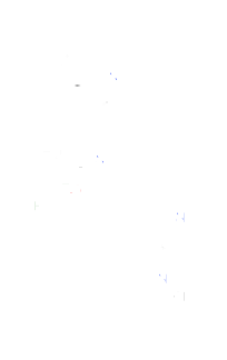 CC(=O)N(CCc1c[nH]c2ccccc12)C1CCC(c2cc(N(C)C)ccn2)CC1.Cl.Cl